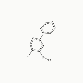 [CH2]c1ccc(-c2ccccc2)cc1OCC